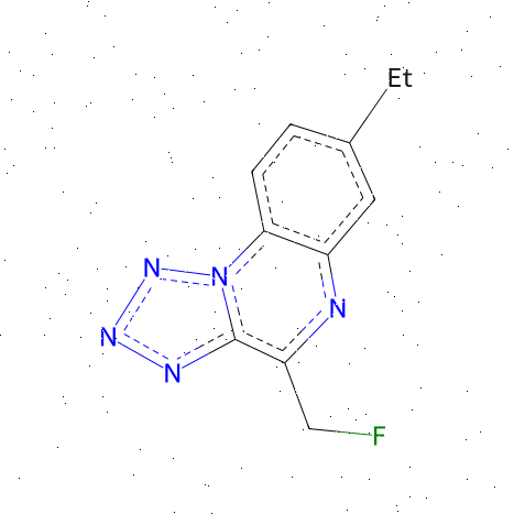 CCc1ccc2c(c1)nc(CF)c1nnnn12